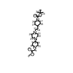 COC(=O)CN1CCC(N2CCN(CCC3CCN(C(=O)OC(C)(C)C)CC3)CC2)CC1